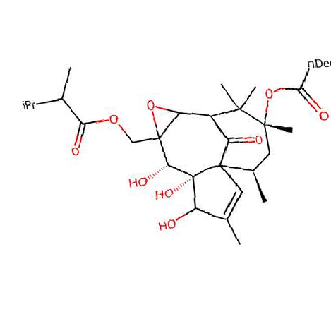 CCCCCCCCCCC(=O)O[C@]1(C)C[C@@H](C)C23C=C(C)C(O)[C@@]2(O)[C@H](O)C2(COC(=O)C(C)C(C)C)OC2C(C3=O)C1(C)C